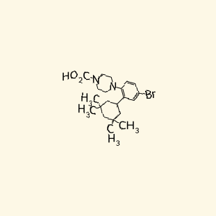 CC1(C)CC(c2cc(Br)ccc2N2CCN(C(=O)O)CC2)CC(C)(C)C1